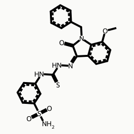 COc1cccc2c1N(Cc1ccccc1)C(=O)C2=NNC(=S)Nc1cccc(S(N)(=O)=O)c1